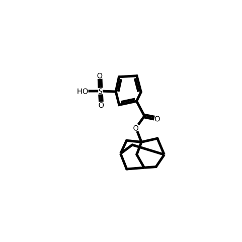 O=C(OC12CC3CC(CC(C3)C1)C2)c1cccc(S(=O)(=O)O)c1